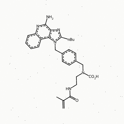 C=C(C)C(=O)NCCN(Cc1ccc(Cn2c(CCCC)nc3c(N)nc4ccccc4c32)cc1)C(=O)O